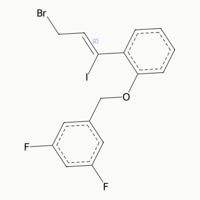 Fc1cc(F)cc(COc2ccccc2/C(I)=C/CBr)c1